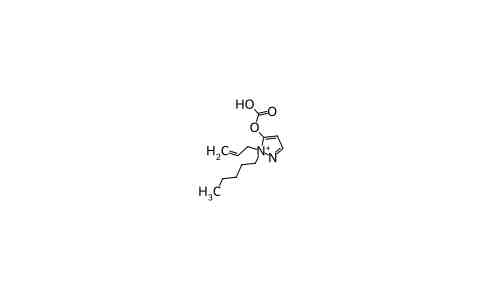 C=CC[N+]1(CCCCC)N=CC=C1OC(=O)O